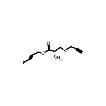 C#CCSC[C@H](N)C(=O)OCC#CI